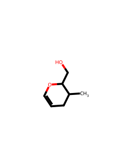 CC1CC=COC1CO